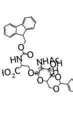 CC(=O)N[C@@H]1[C@H](OCC(NC(=O)OCC2c3ccccc3-c3ccccc32)C(=O)O)OC2COC(c3ccccc3)O[C@H]2[C@@H]1O